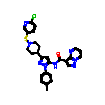 Cc1ccc(-n2nc(C3CCN(Sc4ccc(Cl)nc4)CC3)cc2NC(=O)c2cnn3cccnc23)cc1